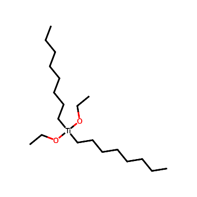 CCCCCCC[CH2][Ti]([CH2]CCCCCCC)([O]CC)[O]CC